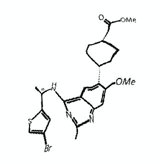 COc1cc2nc(C)nc(N[C@H](C)c3cc(Br)cs3)c2cc1[C@H]1CC[C@H](C(=O)OC)CC1